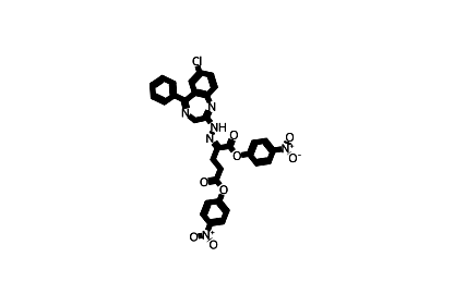 O=C(CCC(=NNC1=Nc2ccc(Cl)cc2C(c2ccccc2)=NC1)C(=O)Oc1ccc([N+](=O)[O-])cc1)Oc1ccc([N+](=O)[O-])cc1